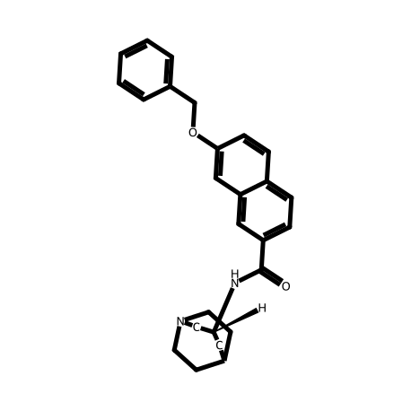 O=C(N[C@@H]1CC2CCN(CC2)C1)c1ccc2ccc(OCc3ccccc3)cc2c1